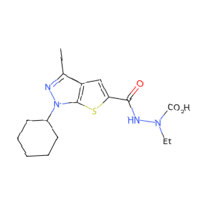 CCN(NC(=O)c1cc2c(C)nn(C3CCCCC3)c2s1)C(=O)O